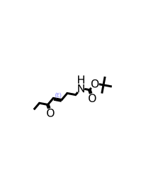 CCC(=O)/C=C/CCNC(=O)OC(C)(C)C